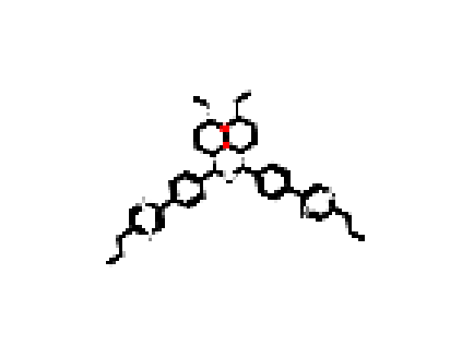 CCCc1cnc(-c2ccc(C(OC(c3ccc(-c4cnc(CCC)cn4)cc3)[C@H]3CC[C@H](CC)CC3)[C@H]3CC[C@H](CC)CC3)cc2)cn1